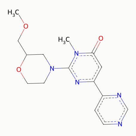 COCC1CN(c2nc(-c3ccncn3)cc(=O)n2C)CCO1